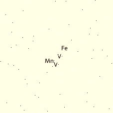 [Fe].[Mn].[V].[V]